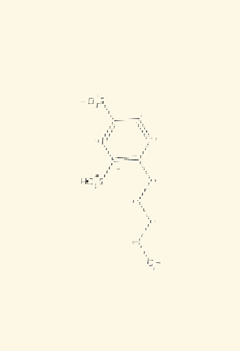 O=S(=O)(O)c1ccc(CCCCO)c(S(=O)(=O)O)c1